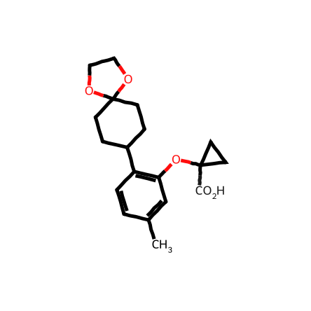 Cc1ccc(C2CCC3(CC2)OCCO3)c(OC2(C(=O)O)CC2)c1